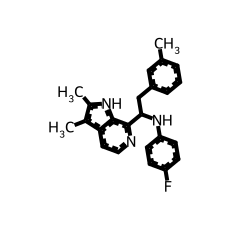 Cc1cccc(CC(Nc2ccc(F)cc2)c2nccc3c(C)c(C)[nH]c23)c1